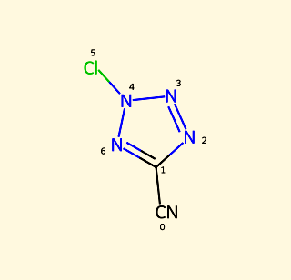 N#Cc1nnn(Cl)n1